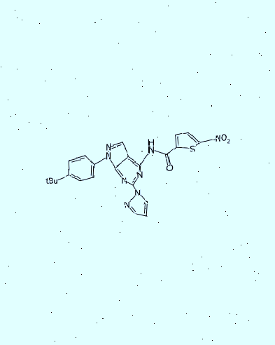 CC(C)(C)c1ccc(-n2ncc3c(NC(=O)c4ccc([N+](=O)[O-])s4)nc(-n4cccn4)nc32)cc1